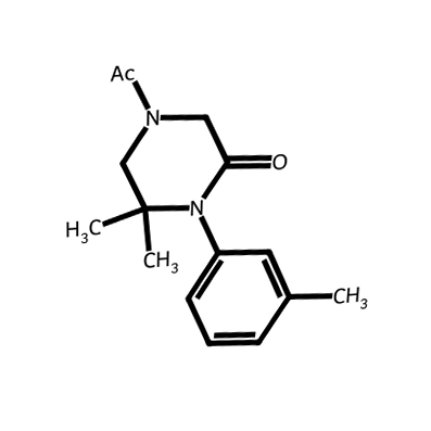 CC(=O)N1CC(=O)N(c2cccc(C)c2)C(C)(C)C1